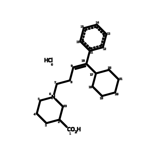 Cl.O=C(O)C1CCCN(CCC=C(c2ccccc2)C2CCCCC2)C1